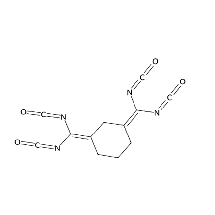 O=C=NC(N=C=O)=C1CCCC(=C(N=C=O)N=C=O)C1